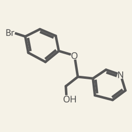 OCC(Oc1ccc(Br)cc1)c1cccnc1